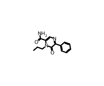 CCCn1c(C(N)=O)cnc(-c2ccccc2)c1=O